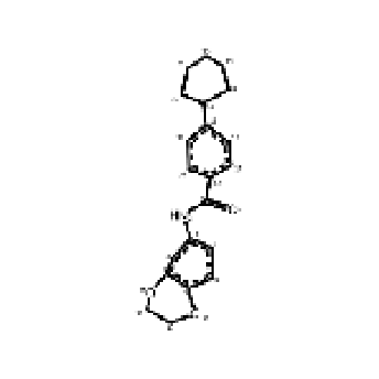 O=C(Nc1ccc2c(c1)OCCO2)c1ccc(C2CCCCC2)cc1